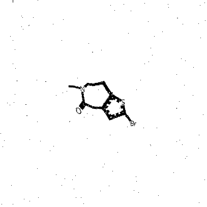 CN1CCc2sc(Br)cc2C1=O